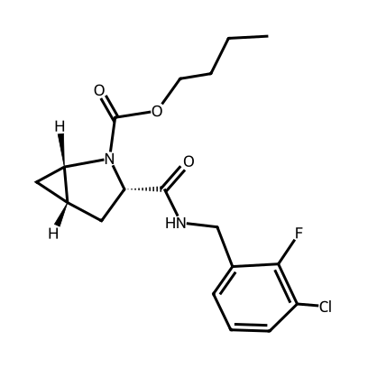 CCCCOC(=O)N1[C@H](C(=O)NCc2cccc(Cl)c2F)C[C@@H]2C[C@@H]21